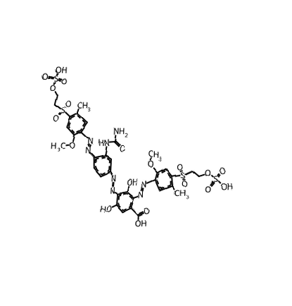 COc1cc(S(=O)(=O)CCOS(=O)(=O)O)c(C)cc1N=Nc1ccc(N=Nc2c(O)cc(C(=O)O)c(N=Nc3cc(C)c(S(=O)(=O)CCOS(=O)(=O)O)cc3OC)c2O)cc1NC(N)=O